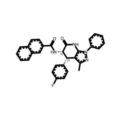 Cc1nn(-c2ccccc2)c2c1[C@H](c1ccc(F)cc1)[C@H](NC(=O)c1ccc3ccccc3c1)C(=O)N2